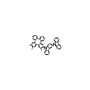 Cc1cc2c(cc1C)-c1cc(C)c(-n3c4ccccc4c4cc(-n5c6ccccc6c6ccccc65)ccc43)cc1-c1ccccc1-c1ccccc1-2